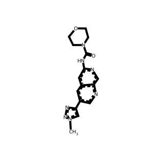 Cn1cc(-c2cnc3cnc(NC(=O)N4CCOCC4)cc3c2)nn1